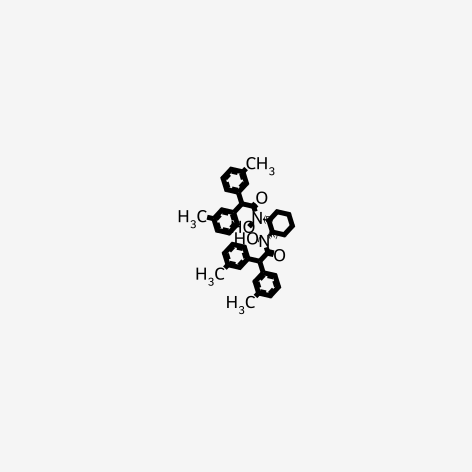 Cc1cccc(C(C(=O)N(O)[C@@H]2CCCC[C@H]2N(O)C(=O)C(c2cccc(C)c2)c2cccc(C)c2)c2cccc(C)c2)c1